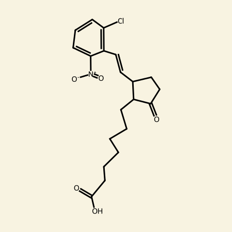 O=C(O)CCCCCCC1C(=O)CCC1C=Cc1c(Cl)cccc1[N+](=O)[O-]